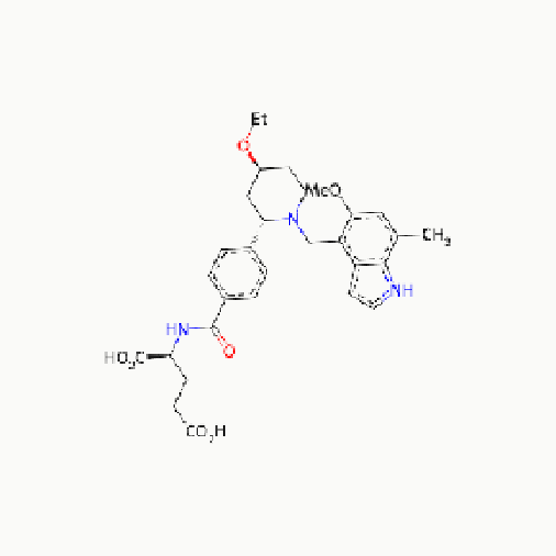 CCO[C@H]1CCN(Cc2c(OC)cc(C)c3[nH]ccc23)[C@H](c2ccc(C(=O)N[C@@H](CCC(=O)O)C(=O)O)cc2)C1